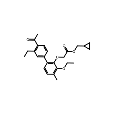 CCOc1c(C)ccc(-c2ccc(C(C)=O)c(CC)c2)c1OCC(=O)OCC1CC1